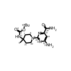 CC1(NC(=O)OC(C)(C)C)CCN(c2nc(N)cc(C(N)=O)n2)CC1